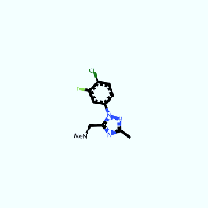 CNCc1nc(C)nn1-c1ccc(Cl)c(F)c1